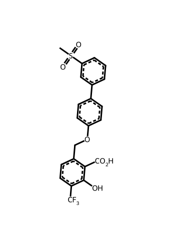 CS(=O)(=O)c1cccc(-c2ccc(OCc3ccc(C(F)(F)F)c(O)c3C(=O)O)cc2)c1